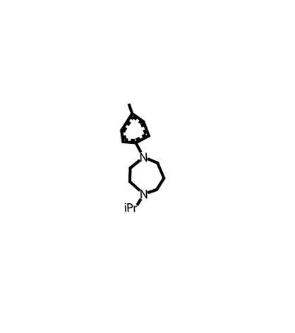 Cc1ccc(N2CCCN(C(C)C)CC2)cc1